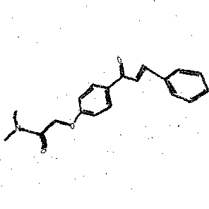 CN(C)C(=O)COc1ccc(C(=O)/C=C/c2ccccc2)cc1